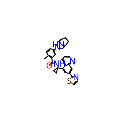 Cc1ccc(N2CC3CCC(C2)N3)cc1C(=O)NC1(c2cc(-c3nccs3)cc3ncccc23)CC1